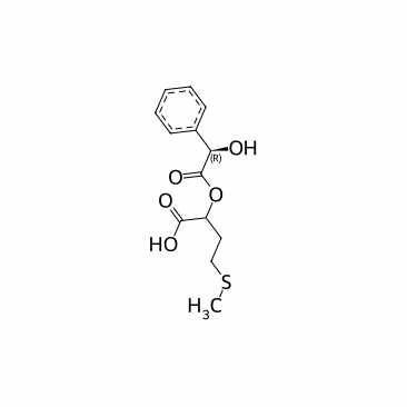 CSCCC(OC(=O)[C@H](O)c1ccccc1)C(=O)O